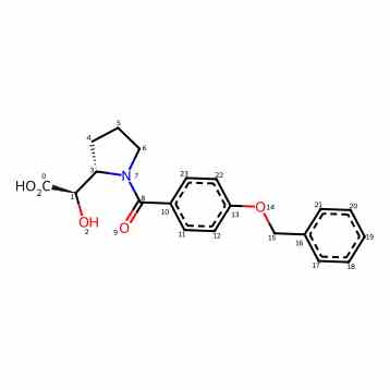 O=C(O)[C@H](O)[C@@H]1CCCN1C(=O)c1ccc(OCc2ccccc2)cc1